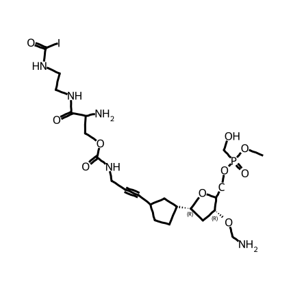 COP(=O)(CO)OCC1O[C@@H](C2CCC(C#CCNC(=O)OCC(N)C(=O)NCCNC(=O)I)C2)C[C@H]1OCN